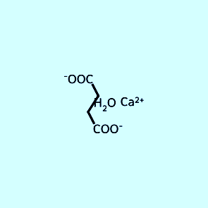 O.O=C([O-])CCC(=O)[O-].[Ca+2]